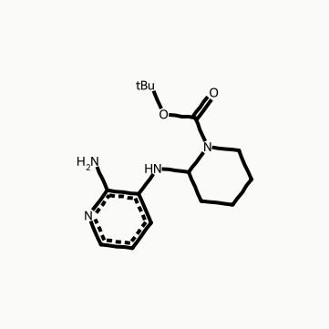 CC(C)(C)OC(=O)N1CCCCC1Nc1cccnc1N